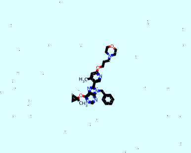 Cc1cc(OCCCN2CCOCC2)ncc1-c1nc2c(OC3(C)CC3)ncnc2n1Cc1ccccc1